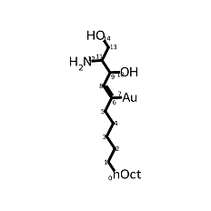 CCCCCCCCCCCCC[C]([Au])=CC(O)C(N)CO